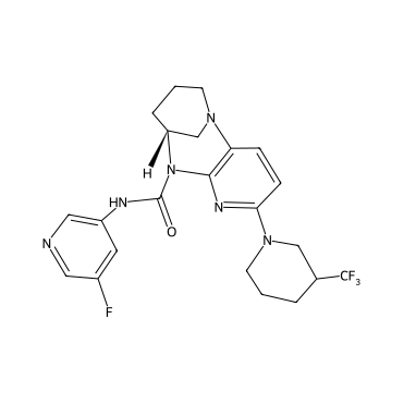 O=C(Nc1cncc(F)c1)N1c2nc(N3CCCC(C(F)(F)F)C3)ccc2N2CCC[C@@H]1C2